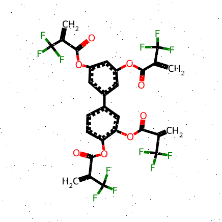 C=C(C(=O)Oc1cc(OC(=O)C(=C)C(F)(F)F)cc(-c2ccc(OC(=O)C(=C)C(F)(F)F)c(OC(=O)C(=C)C(F)(F)F)c2)c1)C(F)(F)F